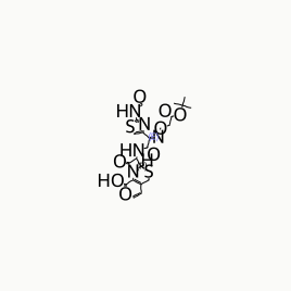 C=CC1=C(C(=O)O)N2C(=O)C(NC(=O)/C(=N/OCC(=O)OC(C)(C)C)c3csc(NC=O)n3)[C@H]2SC1